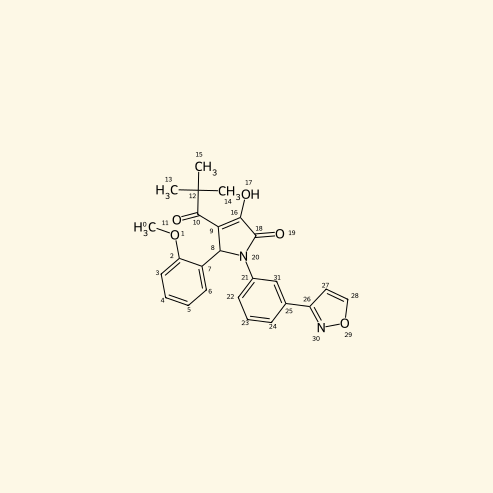 COc1ccccc1C1C(C(=O)C(C)(C)C)=C(O)C(=O)N1c1cccc(-c2ccon2)c1